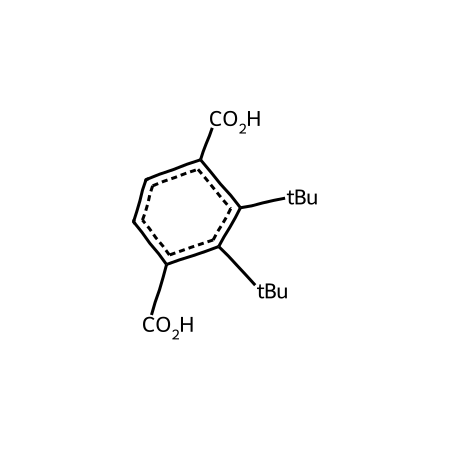 CC(C)(C)c1c(C(=O)O)ccc(C(=O)O)c1C(C)(C)C